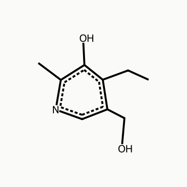 CCc1c(CO)cnc(C)c1O